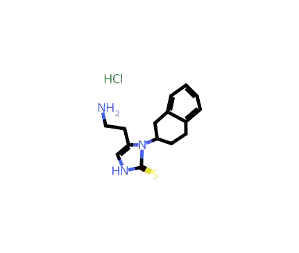 Cl.NCCc1c[nH]c(=S)n1C1CCc2ccccc2C1